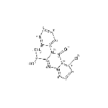 CC(O)c1nc2cccc(Cl)c2c(=O)n1-c1cccnc1